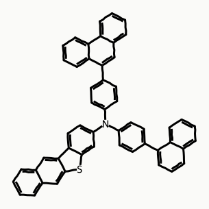 c1ccc2cc3c(cc2c1)sc1cc(N(c2ccc(-c4cccc5ccccc45)cc2)c2ccc(-c4cc5ccccc5c5ccccc45)cc2)ccc13